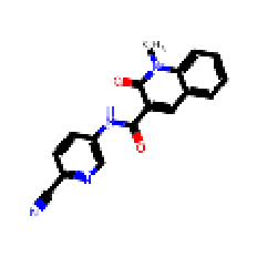 Cn1c(=O)c(C(=O)Nc2ccc(C#N)nc2)cc2ccccc21